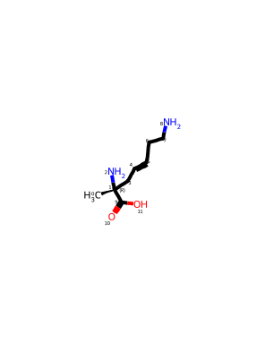 C[C@@](N)(CC=CCCN)C(=O)O